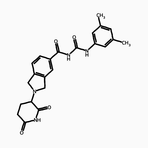 Cc1cc(C)cc(NC(=O)NC(=O)c2ccc3c(c2)CN(C2CCC(=O)NC2=O)C3)c1